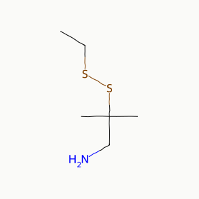 CCSSC(C)(C)CN